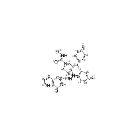 CCNC(=O)N1C/C(=C\c2ccc(F)cc2)c2c(c(C(=O)NC(C)c3ccccn3)nn2-c2ccc(Cl)cc2)C1